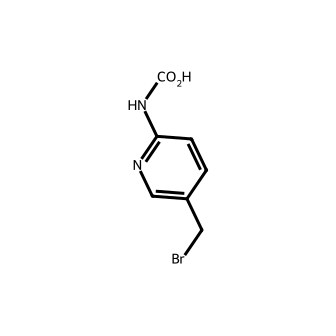 O=C(O)Nc1ccc(CBr)cn1